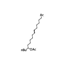 CCCCC(CCCCCC=CCCCCCC(C)=O)OC(C)=O